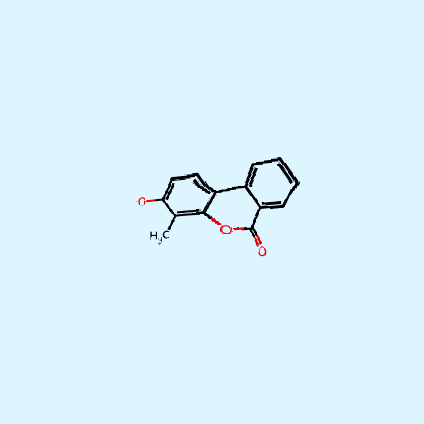 Cc1c([O])ccc2c1oc(=O)c1ccccc12